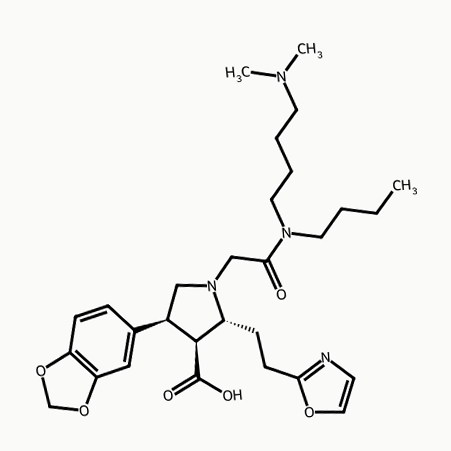 CCCCN(CCCCN(C)C)C(=O)CN1C[C@H](c2ccc3c(c2)OCO3)[C@H](C(=O)O)[C@H]1CCc1ncco1